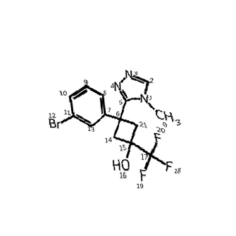 Cn1cnnc1C1(c2cccc(Br)c2)CC(O)(C(F)(F)F)C1